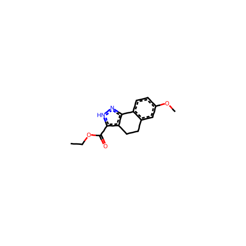 CCOC(=O)c1[nH]nc2c1CCc1cc(OC)ccc1-2